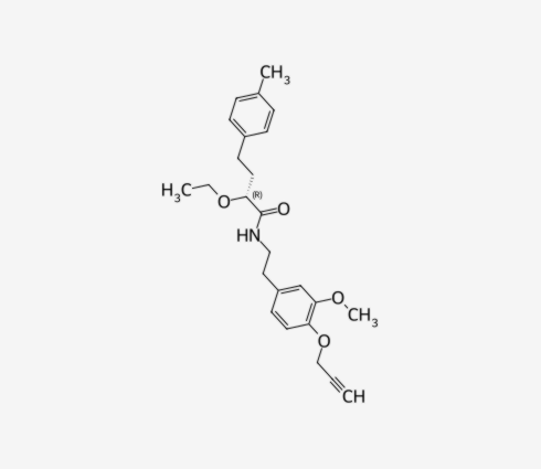 C#CCOc1ccc(CCNC(=O)[C@@H](CCc2ccc(C)cc2)OCC)cc1OC